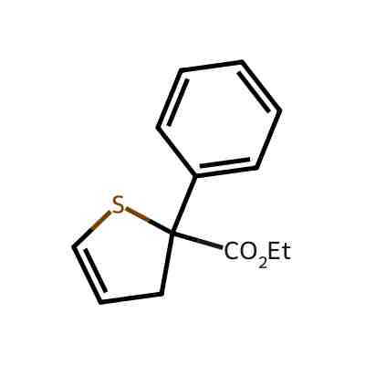 CCOC(=O)C1(c2ccccc2)CC=CS1